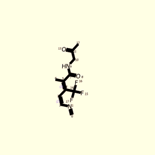 C=N/C=C\C(=C(/C)C(=O)NCC(C)=O)C(F)(F)F